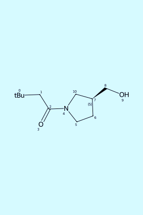 CC(C)(C)CC(=O)N1CC[C@H](CO)C1